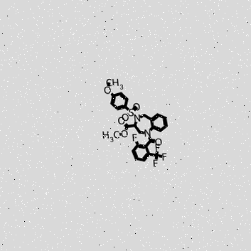 COC(=O)C1CN(C(=O)c2c(F)cccc2C(F)(F)F)c2ccccc2CN1S(=O)(=O)c1ccc(OC)cc1